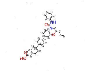 CCCC1CN(C(=O)Nc2ccccc2)c2ccc(-c3ccc(C4CCC(CC(=O)O)CC4)cc3)cc2O1